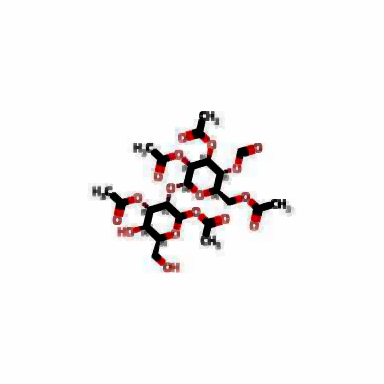 CC(=O)OC[C@H]1O[C@H](O[C@@H]2C(OC(C)=O)O[C@@H](CO)[C@@H](O)[C@@H]2OC(C)=O)[C@@H](OC(C)=O)[C@@H](OC(C)=O)[C@@H]1OC=O